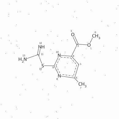 COC(=O)c1cc(C)nc(SC(=N)N)n1